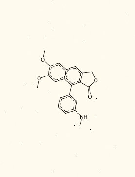 CNc1cccc(-c2c3c(cc4cc(OC)c(OC)cc24)COC3=O)c1